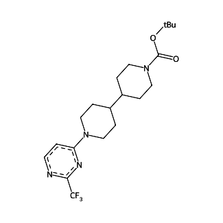 CC(C)(C)OC(=O)N1CCC(C2CCN(c3ccnc(C(F)(F)F)n3)CC2)CC1